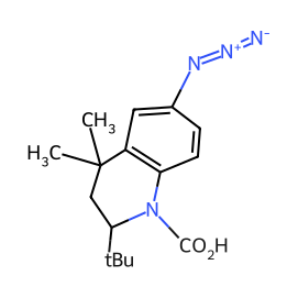 CC1(C)CC(C(C)(C)C)N(C(=O)O)c2ccc(N=[N+]=[N-])cc21